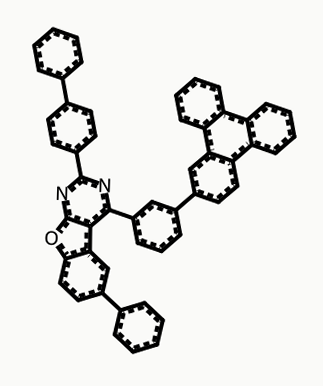 c1ccc(-c2ccc(-c3nc(-c4cccc(-c5ccc6c7ccccc7c7ccccc7c6c5)c4)c4c(n3)oc3ccc(-c5ccccc5)cc34)cc2)cc1